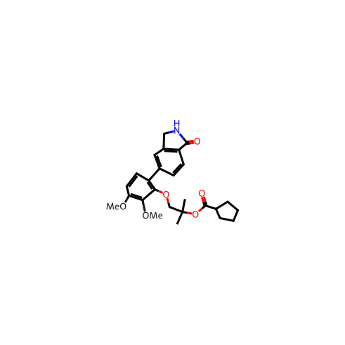 COc1ccc(-c2ccc3c(c2)CNC3=O)c(OCC(C)(C)OC(=O)C2CCCC2)c1OC